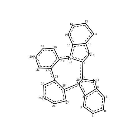 c1ccc2c(c1)nc1c3nc4ccccc4n3c3ccncc3c3cnccc3n21